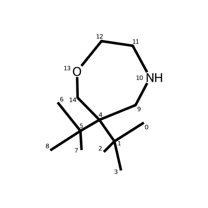 CC(C)(C)C1(C(C)(C)C)CNCCOC1